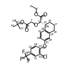 CCOC(=O)C(OCC(=O)OC(C)(C)C)[C@@H]1CCCc2cc(Oc3ccc(C(F)(F)F)cc3Cl)ccc21